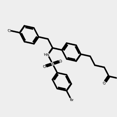 O=C(O)CCCc1ccc(C(Cc2ccc(Cl)cc2)NS(=O)(=O)c2ccc(Br)cc2)cc1